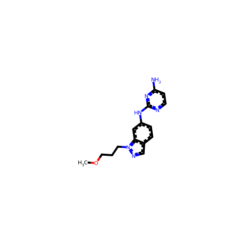 COCCCn1ncc2ccc(Nc3nccc(N)n3)cc21